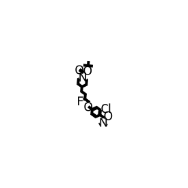 CN(C)C(=O)c1ccc(OCC(F)CCC2CCN(C(=O)OC(C)(C)C)CC2)cc1Cl